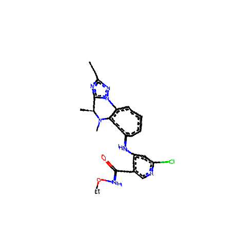 CCONC(=O)c1cnc(Cl)cc1Nc1cccc2c1N(C)[C@@H](C)c1nc(C)nn1-2